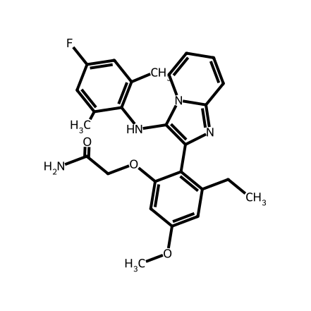 CCc1cc(OC)cc(OCC(N)=O)c1-c1nc2ccccn2c1Nc1c(C)cc(F)cc1C